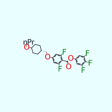 CCCO[C@H]1CC[C@H](COc2cc(F)c(C(=O)Oc3cc(F)c(F)c(F)c3)c(F)c2)CC1